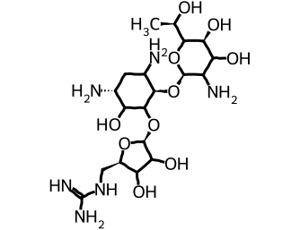 C[C@@H](O)C1O[C@H](O[C@@H]2C(N)C[C@@H](N)C(O)C2O[C@@H]2O[C@H](CNC(=N)N)C(O)C2O)C(N)C(O)[C@@H]1O